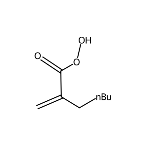 C=C(CCCCC)C(=O)OO